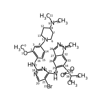 COc1cc(N2CCC(N(C)C)CC2)ccc1Nc1ncc(Br)c(Nc2cc3cnn(C)c3cc2S(=O)(=O)C(C)C)n1